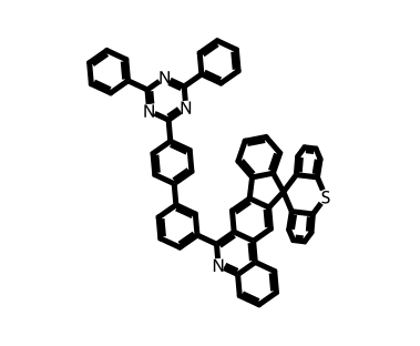 c1ccc(-c2nc(-c3ccccc3)nc(-c3ccc(-c4cccc(-c5nc6ccccc6c6cc7c(cc56)-c5ccccc5C75c6ccccc6Sc6ccccc65)c4)cc3)n2)cc1